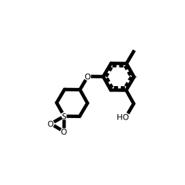 Cc1[c]c(CO)cc(OC2CCS3(CC2)OO3)c1